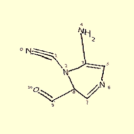 N#CN1C(N)=CN=CC1[C]=O